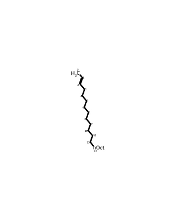 CC=CCCCCCCCCCCCCCCCCCC